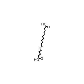 O=C(O)CCCCCCCCCCOCCCCC(=O)O